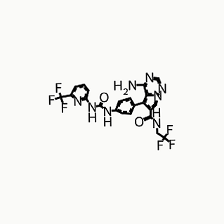 Nc1ncnn2cc(C(=O)NCC(F)(F)F)c(-c3ccc(NC(=O)Nc4cccc(C(F)(F)F)n4)cc3)c12